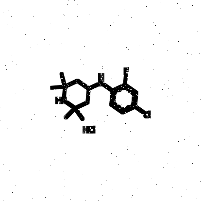 CC1(C)CC(Nc2ccc(Cl)cc2F)CC(C)(C)N1.Cl